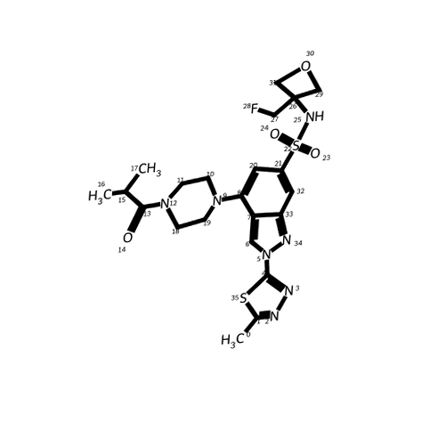 Cc1nnc(-n2cc3c(N4CCN(C(=O)C(C)C)CC4)cc(S(=O)(=O)NC4(CF)COC4)cc3n2)s1